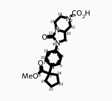 COC(=O)C1(c2ccc(N3CC4CN(C(=O)O)CCN4C3=O)cc2)CCCC1